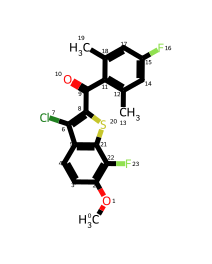 COc1ccc2c(Cl)c(C(=O)c3c(C)cc(F)cc3C)sc2c1F